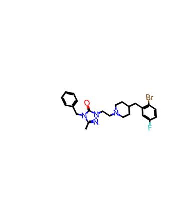 Cc1nn(CCN2CCC(Cc3cc(F)ccc3Br)CC2)c(=O)n1Cc1ccccc1